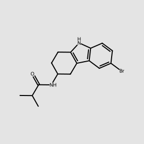 CC(C)C(=O)NC1CCc2[nH]c3ccc(Br)cc3c2C1